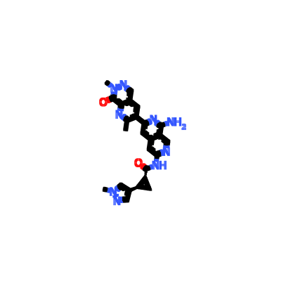 Cc1nc2c(=O)n(C)ncc2cc1-c1cc2cc(NC(=O)[C@@H]3C[C@H]3c3cnn(C)c3)ncc2c(N)n1